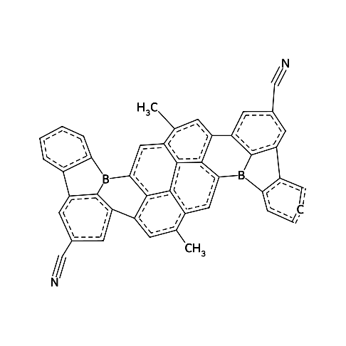 Cc1cc2c3c(cc4c(C)cc5c6c(cc1c3c46)B1c3ccccc3-c3cc(C#N)cc-5c31)B1c3ccccc3-c3cc(C#N)cc-2c31